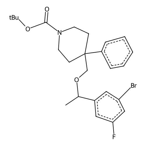 CC(OCC1(c2ccccc2)CCN(C(=O)OC(C)(C)C)CC1)c1cc(F)cc(Br)c1